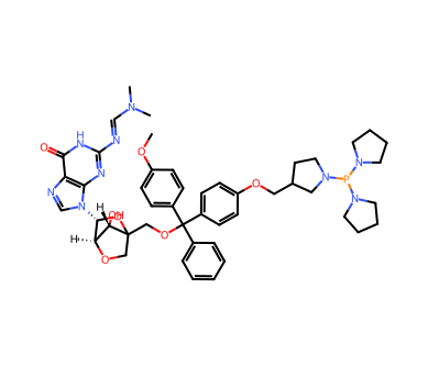 COc1ccc(C(OCC23CO[C@@H]([C@H](n4cnc5c(=O)[nH]c(/N=C/N(C)C)nc54)O2)[C@@H]3O)(c2ccccc2)c2ccc(OCC3CCN(P(N4CCCC4)N4CCCC4)C3)cc2)cc1